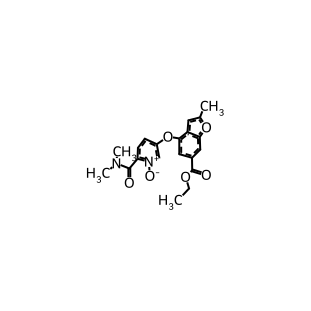 CCOC(=O)c1cc(Oc2ccc(C(=O)N(C)C)[n+]([O-])c2)c2cc(C)oc2c1